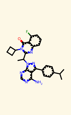 CC(C)c1ccc(-c2nn(C(C)c3nc4cccc(F)c4c(=O)n3C3CCC3)c3ncnc(N)c23)cc1